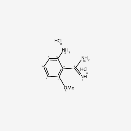 COc1cccc(N)c1C(=N)N.Cl.Cl